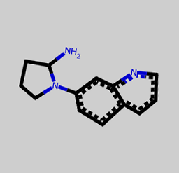 NC1CCCN1c1ccc2cccnc2c1